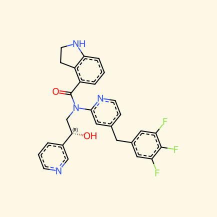 O=C(c1cccc2c1CCN2)N(C[C@H](O)c1cccnc1)c1cc(Cc2cc(F)c(F)c(F)c2)ccn1